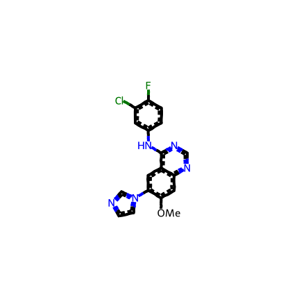 COc1cc2ncnc(Nc3ccc(F)c(Cl)c3)c2cc1-n1ccnc1